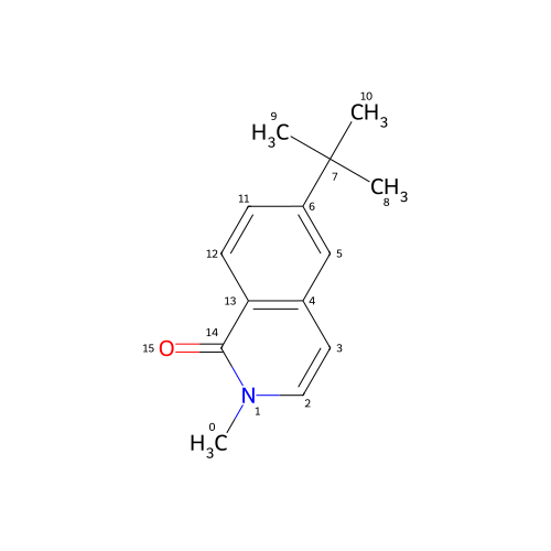 Cn1ccc2cc(C(C)(C)C)ccc2c1=O